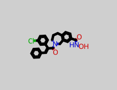 O=C(NO)c1ccc2c(c1)CN(C(=O)C(=Cc1ccccc1)c1cccc(Cl)c1)CCC2